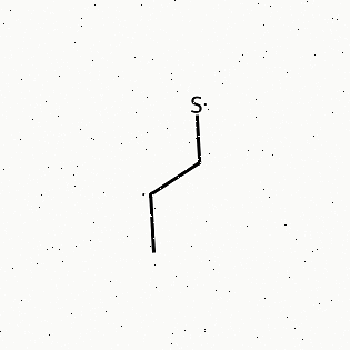 C[CH]C[S]